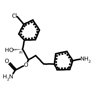 NC(=O)OC(CCc1ccc(N)cc1)[C@H](O)c1cccc(Cl)c1